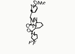 COc1ccc(Cn2nc3n(c2=O)C(C(=O)N2CCC(F)(F)C2)CCC3)cn1